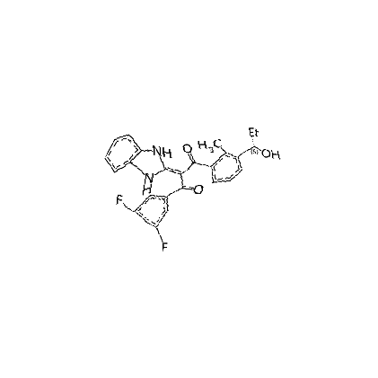 CC[C@H](O)c1cccc(C(=O)C(C(=O)c2cc(F)cc(F)c2)=C2Nc3ccccc3N2)c1C